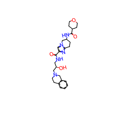 O=C(NC[C@@H](O)CN1CCc2ccccc2C1)c1cn2c(n1)CCC(NC(=O)C1CCOCC1)C2